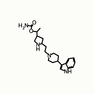 CC(OC(N)=O)C1CNC(CCN2CCC(c3c[nH]c4ccccc34)CC2)C1